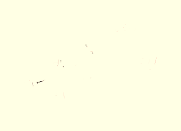 CC(C)[C@H](C)NC(=O)N[C@@H](CC(=O)O)C(=O)O